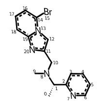 C[C@@H](c1ccccn1)N(C)Cc1cn2c(Br)cccc2n1